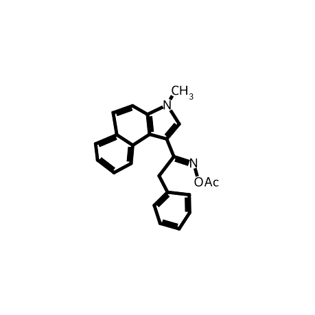 CC(=O)O/N=C(\Cc1ccccc1)c1cn(C)c2ccc3ccccc3c12